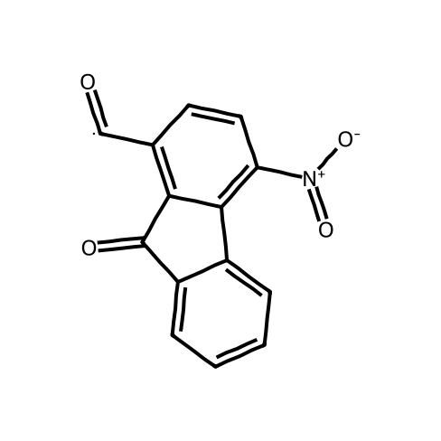 O=[C]c1ccc([N+](=O)[O-])c2c1C(=O)c1ccccc1-2